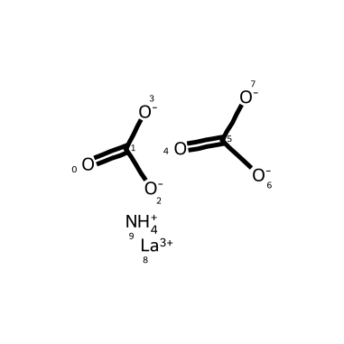 O=C([O-])[O-].O=C([O-])[O-].[La+3].[NH4+]